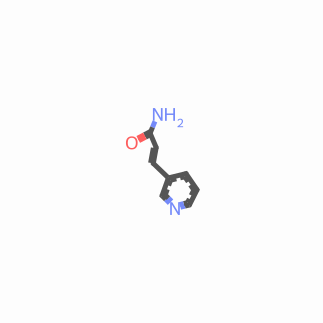 NC(=O)/C=C/c1cccnc1